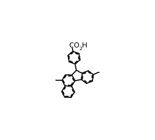 Cc1ccc2c(c1)C(c1ccc(C(=O)O)cc1)c1cc(C)c3ccccc3c1-2